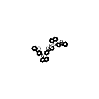 c1ccc2c(N(c3ccc4c(c3)oc3ccccc34)c3ccc4c(c3)oc3nc(N(c5ccc6c(c5)oc5ccccc56)c5cccc6ccccc56)ccc34)cccc2c1